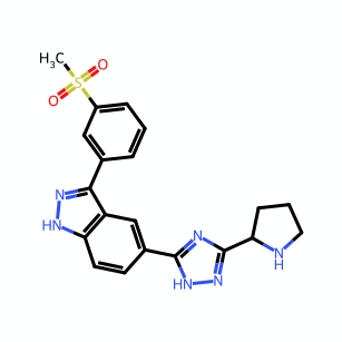 CS(=O)(=O)c1cccc(-c2n[nH]c3ccc(-c4nc(C5CCCN5)n[nH]4)cc23)c1